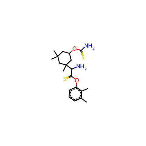 Cc1cccc(OC(=S)C(N)C2(C)CC(OC(N)=S)CC(C)(C)C2)c1C